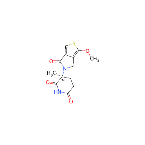 COc1scc2c1CN([C@@]1(C)CCC(=O)NC1=O)C2=O